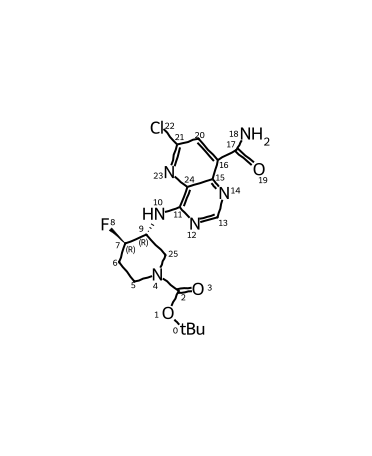 CC(C)(C)OC(=O)N1CC[C@@H](F)[C@H](Nc2ncnc3c(C(N)=O)cc(Cl)nc23)C1